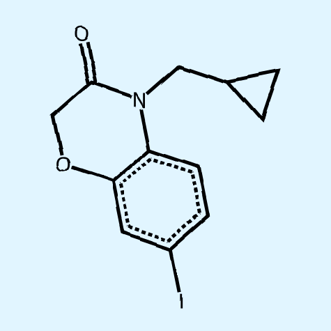 O=C1COc2cc(I)ccc2N1CC1CC1